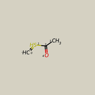 [CH]=[SH]C(C)=O